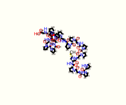 CSCC[C@H](NC(=O)[C@@H]1CCCN1C(=O)CNC(=O)[C@@H]1CCCN1C(=O)[C@@H]1CCCN1)C(=O)NCC(=O)N1CCC[C@H]1C(=O)N1CCC[C@H]1C(=O)NCC(=O)N1CCC[C@H]1C(=O)N1CCC[C@H]1C(=O)NCC(=O)N1CCC[C@H]1C(=O)N1CCC[C@H]1C(=O)NCC(=O)N1CCC[C@H]1C(=O)N1CCC[C@H]1C(=O)NCC(=O)N1CCC[C@H]1C(=O)N1CCC[C@H]1C(=O)NCC(=O)O